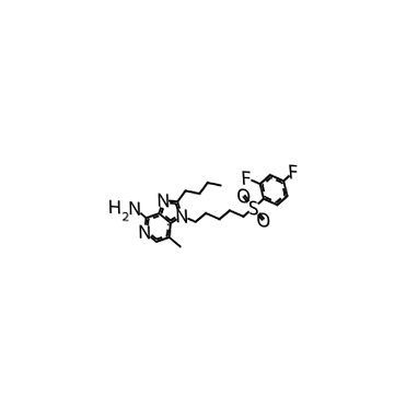 CCCCc1nc2c(N)ncc(C)c2n1CCCCCS(=O)(=O)c1ccc(F)cc1F